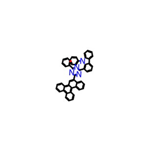 c1ccc(-c2nc(-c3cc4c5ccccc5c5ccccc5c4c4ccccc34)nc(-c3cccc4c5ccccc5n(-c5ccccc5)c34)n2)cc1